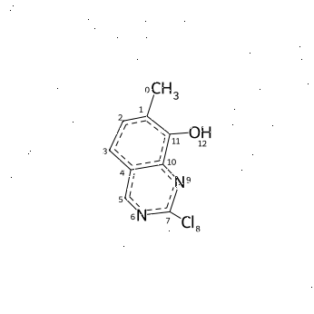 Cc1ccc2cnc(Cl)nc2c1O